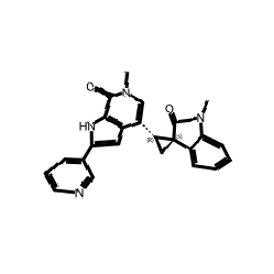 CN1C(=O)[C@]2(C[C@@H]2c2cn(C)c(=O)c3[nH]c(-c4cccnc4)cc23)c2ccccc21